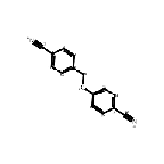 N#Cc1ccc(COc2ccc(C#N)cc2)cc1